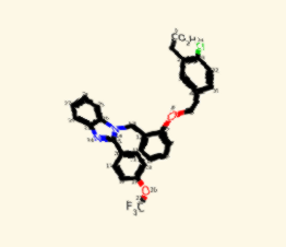 O=C(O)Cc1cc(COc2ccccc2Cn2c(-c3ccc(OC(F)(F)F)cc3)nc3ccccc32)ccc1Cl